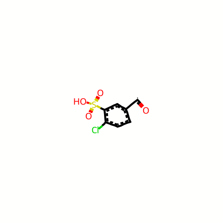 O=[C]c1ccc(Cl)c(S(=O)(=O)O)c1